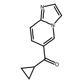 O=C(c1ccc2nccn2c1)C1CC1